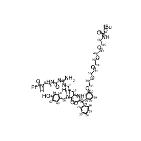 CCC(=O)NCCNC(=O)/N=C(/N)NCCC[C@@H](NC(=O)C(c1ccccc1)c1cccc(OCCOCCOCCOCCOCCNC(=O)OC(C)(C)C)c1)C(=O)NCc1ccc(O)cc1